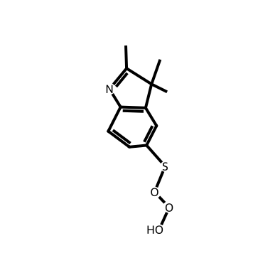 CC1=Nc2ccc(SOOO)cc2C1(C)C